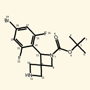 CC(C)(C)OC(=O)N1CC2(CNC2)C1c1c(F)cc(Br)cc1F